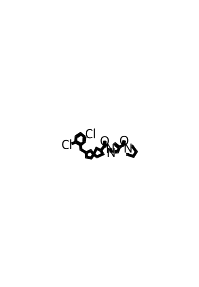 O=C(c1cnn(C(=O)C2CCC3(CCC(Cc4cc(Cl)ccc4Cl)C3)C2)c1)N1CCCC1